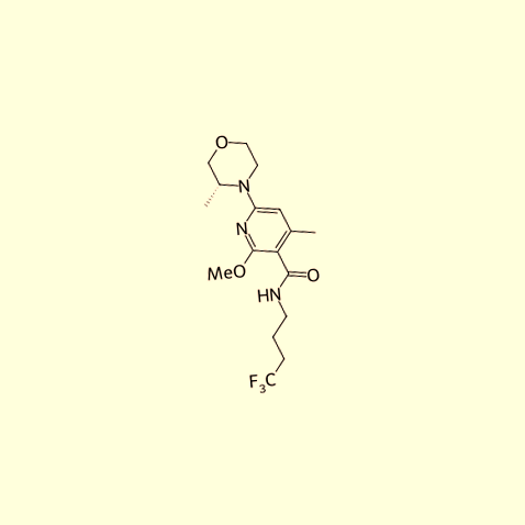 COc1nc(N2CCOC[C@H]2C)cc(C)c1C(=O)NCCCC(F)(F)F